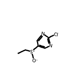 CC[S+]([O-])c1cnc(Cl)nc1